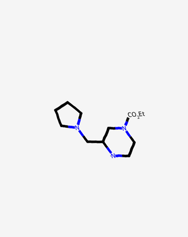 CCOC(=O)N1CC[N]C(CN2CCCC2)C1